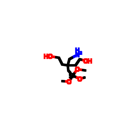 CO[Si](CC(CN)(CCO)CCO)(OC)OC